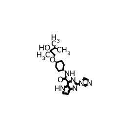 CC(C)C(C)(O)CO[C@H]1CC[C@H](NC(=O)c2nc(-n3ccnc3)nc3cc[nH]c23)CC1